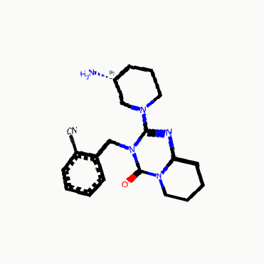 N#Cc1ccccc1CN1C(=O)N2CCCCC2N=C1N1CCC[C@@H](N)C1